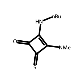 CCCCNc1c(NC)c(=S)c1=O